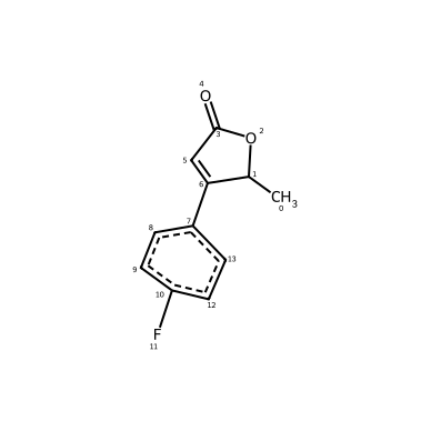 CC1OC(=O)C=C1c1ccc(F)cc1